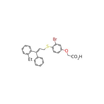 CCc1ccccc1C(=CCSc1ccc(OCC(=O)O)cc1Br)c1ccccc1